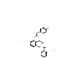 COc1ccccc1C(=O)N1CCc2c(ccc(C)c2NC(=O)Cc2ccc(C(F)(F)F)c(F)c2)C1